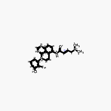 CN(C)C/C=C/C(=O)Nc1ccc2ncnc3c2c1C=CN3c1cccc(Cl)c1F